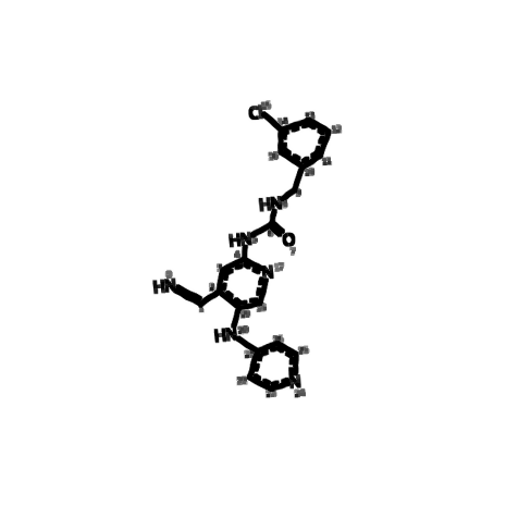 N=Cc1cc(NC(=O)NCc2cccc(Cl)c2)ncc1Nc1ccncc1